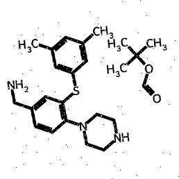 CC(C)(C)OC=O.Cc1cc(C)cc(Sc2cc(CN)ccc2N2CCNCC2)c1